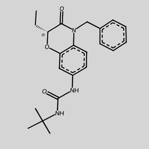 CC[C@H]1Oc2cc(NC(=O)NC(C)(C)C)ccc2N(Cc2ccccc2)C1=O